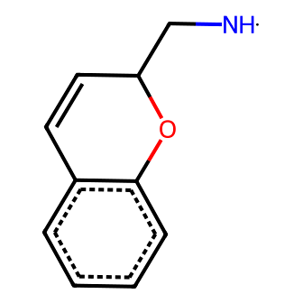 [NH]CC1C=Cc2ccccc2O1